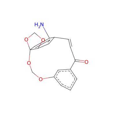 NC1=CC23OCOc4cccc(c4)C(=O)C=CC1=CC2OCO3